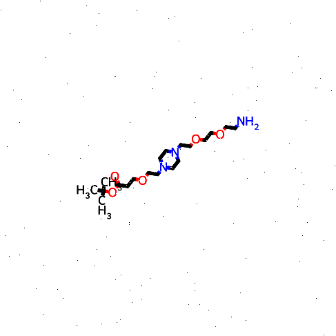 CC(C)(C)OC(=O)CCOCCN1CCN(CCOCCOCCN)CC1